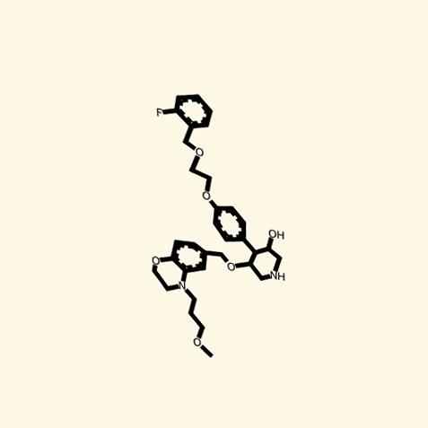 COCCCN1CCOc2ccc(COC3CNCC(O)C3c3ccc(OCCOCc4ccccc4F)cc3)cc21